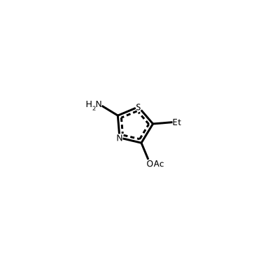 CCc1sc(N)nc1OC(C)=O